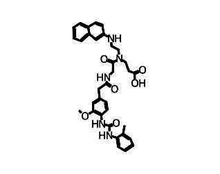 COc1cc(CC(=O)NCC(=O)N(CCNc2ccc3ccccc3c2)CCC(=O)O)ccc1NC(=O)Nc1ccccc1C